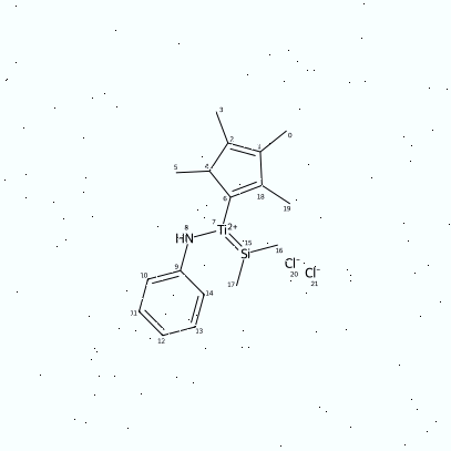 CC1=C(C)C(C)[C]([Ti+2]([NH]c2ccccc2)=[Si](C)C)=C1C.[Cl-].[Cl-]